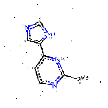 COc1nccc(-c2cnc[nH]2)n1